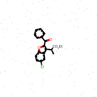 CCOC(=O)C(C)c1c(C(=O)c2ccccc2)oc2ccc(Cl)cc12